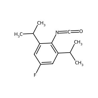 CC(C)c1cc(F)cc(C(C)C)c1N=C=O